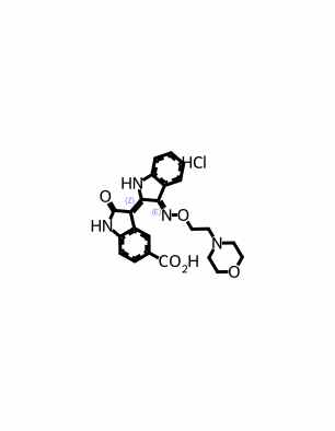 Cl.O=C1Nc2ccc(C(=O)O)cc2/C1=C1/Nc2ccccc2/C1=N\OCCN1CCOCC1